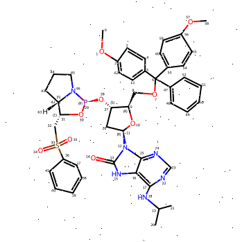 COc1ccc(C(OC[C@H]2O[C@@H](n3c(=O)[nH]c4c(NC(C)C)ncnc43)C[C@@H]2O[P@@]2O[C@H](CS(=O)(=O)c3ccccc3)[C@@H]3CCCN32)(c2ccccc2)c2ccc(OC)cc2)cc1